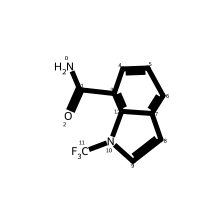 NC(=O)c1cccc2ccn(C(F)(F)F)c12